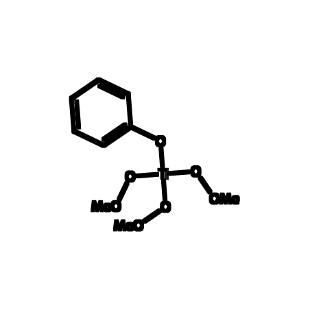 CO[O][Ti]([O]OC)([O]OC)[O]c1ccccc1